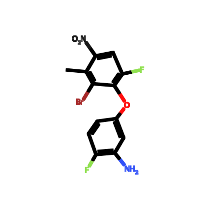 Cc1c([N+](=O)[O-])cc(F)c(Oc2ccc(F)c(N)c2)c1Br